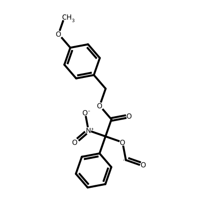 COc1ccc(COC(=O)C(O[C]=O)(c2ccccc2)[N+](=O)[O-])cc1